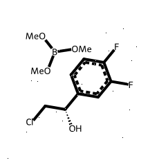 COB(OC)OC.O[C@H](CCl)c1ccc(F)c(F)c1